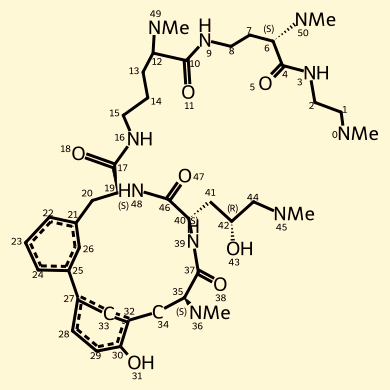 CNCCNC(=O)[C@H](CCNC(=O)C(CCCNC(=O)[C@@H]1Cc2cccc(c2)-c2ccc(O)c(c2)C[C@H](NC)C(=O)N[C@@H](C[C@@H](O)CNC)C(=O)N1)NC)NC